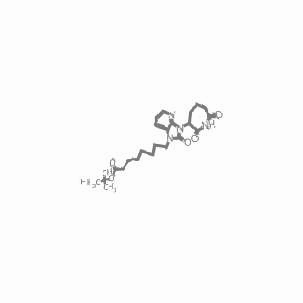 CC(C)(C)OC(=O)CCCCCCCn1c(=O)n(C2CCCC(=O)NC2=O)c2ncccc21